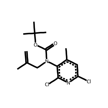 C=C(C)CN(C(=O)OC(C)(C)C)c1c(C)cc(Cl)nc1Cl